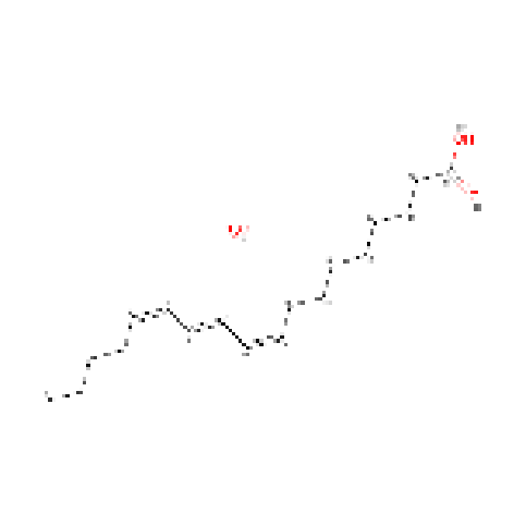 CCCC\C=C/C=C/C=C\CCCCCCCC(=O)O.O